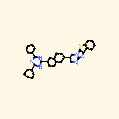 c1ccc(-c2nc(-c3ccccc3)nc(-c3ccc4cc(-c5cnc6nc7c8ccccc8sc7n6c5)ccc4c3)n2)cc1